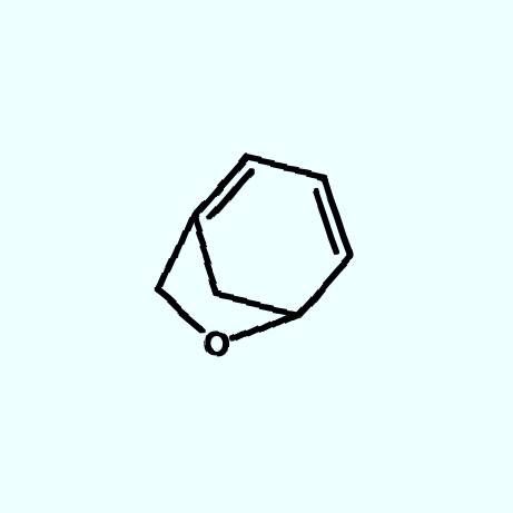 C1=CC2CC(=C1)CO2